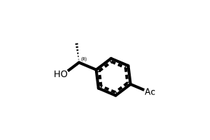 CC(=O)c1ccc([C@@H](C)O)cc1